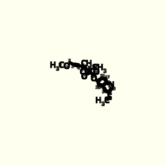 COCC#CC(C)(C)NC(=O)C(OC)Oc1ccc2ncc(SC)cc2c1